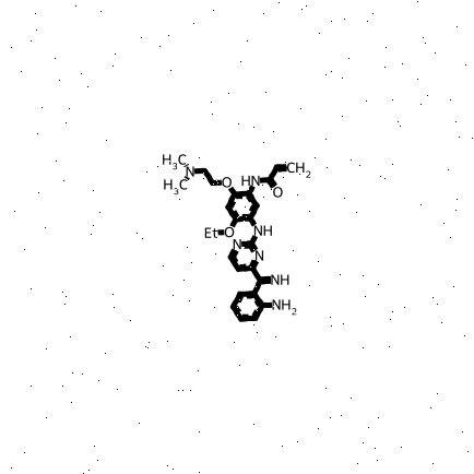 C=CC(=O)Nc1cc(Nc2nccc(C(=N)c3ccccc3N)n2)c(OCC)cc1OCCN(C)C